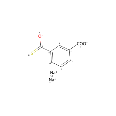 O=C([O-])c1cccc(C([O-])=S)c1.[Na+].[Na+]